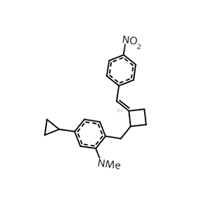 CNc1cc(C2CC2)ccc1CC1CC/C1=C\c1ccc([N+](=O)[O-])cc1